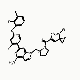 CCNC1(C=C(C#N)C(=O)N2CCC[C@H]2Cn2ncc3c(N)nc(-c4ccc(Oc5cccc(F)c5F)cc4F)nc32)CC1